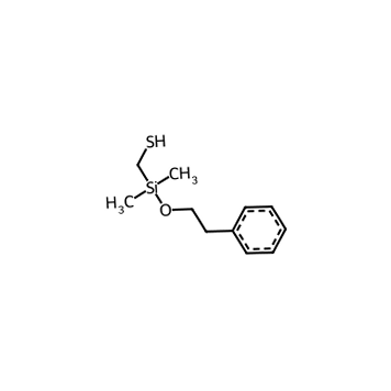 C[Si](C)(CS)OCCc1ccccc1